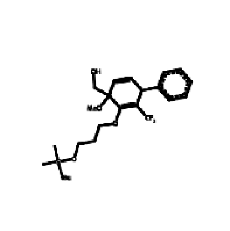 COC1(CO)C=CC(c2ccccc2)C(C(F)(F)F)=C1OCCCO[Si](C)(C)C(C)(C)C